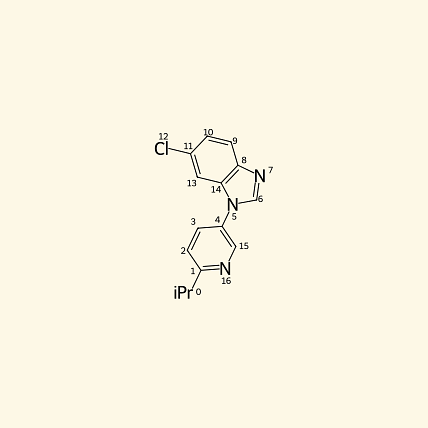 CC(C)c1ccc(-n2cnc3ccc(Cl)cc32)cn1